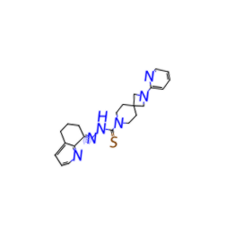 S=C(N/N=C1\CCCc2cccnc21)N1CCC2(CC1)CN(c1ccccn1)C2